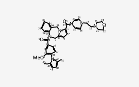 COc1cc(C(=O)N2Cc3ccc(C(=O)N4C=CN(CCN5CCOCC5)C=C4)n3Cc3ccccc32)ccc1-n1c(C)ccc1C